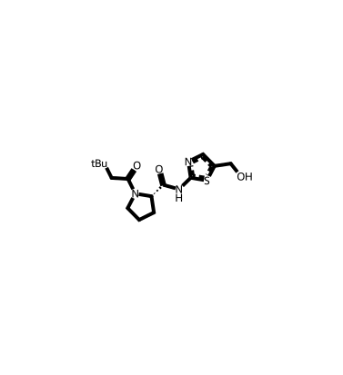 CC(C)(C)CC(=O)N1CCC[C@H]1C(=O)Nc1ncc(CO)s1